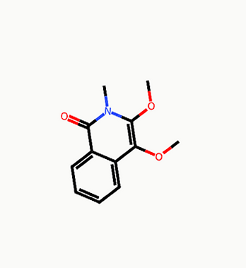 COc1c(OC)n(C)c(=O)c2ccccc12